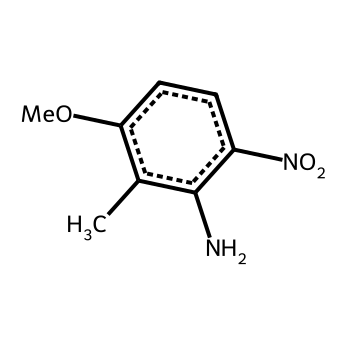 COc1ccc([N+](=O)[O-])c(N)c1C